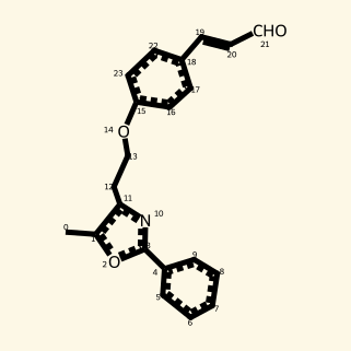 Cc1oc(-c2ccccc2)nc1CCOc1ccc(C=CC=O)cc1